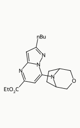 CCCCc1cc2nc(C(=O)OCC)cc(N3C4CCC3COC4)n2n1